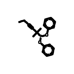 CCC#CC(C)(C)P(Oc1ccccc1)Oc1ccccc1